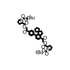 CC(C)(C)OC(=O)N1CCCC1C(=O)OCC(=O)c1ccc(-c2ccc(C(=O)COC(=O)C3CCCN3C(=O)OC(C)(C)C)c3c2C2(CCCC2)CC3)cc1